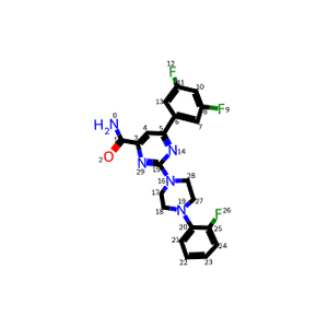 NC(=O)c1cc(-c2cc(F)cc(F)c2)nc(N2CCN(c3ccccc3F)CC2)n1